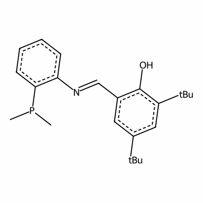 CP(C)c1ccccc1/N=C/c1cc(C(C)(C)C)cc(C(C)(C)C)c1O